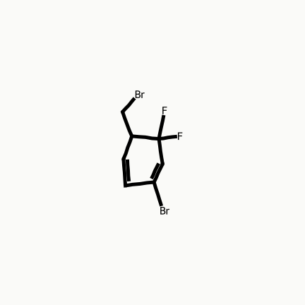 FC1(F)C=C(Br)C=CC1CBr